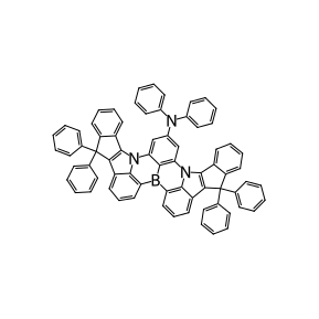 c1ccc(N(c2ccccc2)c2cc3c4c(c2)-n2c5c(c6cccc(c62)B4c2cccc4c6c(n-3c24)-c2ccccc2C6(c2ccccc2)c2ccccc2)C(c2ccccc2)(c2ccccc2)c2ccccc2-5)cc1